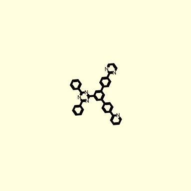 c1ccc(-c2nc(-c3ccccc3)nc(-c3cc(-c4ccc(-c5ccccn5)cc4)cc(-c4ccc(-c5ncccn5)cc4)c3)n2)cc1